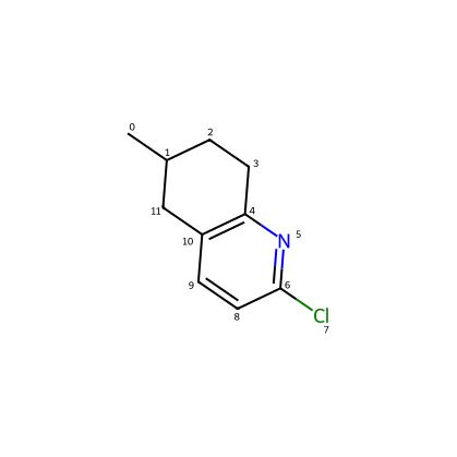 CC1CCc2nc(Cl)ccc2C1